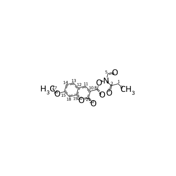 CCC(=O)N(C=O)OC(=O)c1cc2ccc(OC)cc2oc1=O